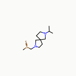 CC(C)N1CCC2(CCN(CS(C)=S)C2)C1